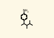 CC(C)C(C)C(C)c1ccc(N)cc1